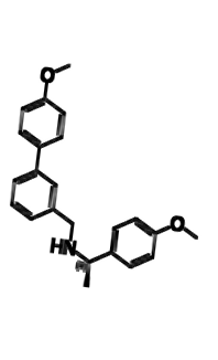 COc1ccc(-c2cccc(CN[C@H](C)c3ccc(OC)cc3)c2)cc1